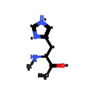 CCNC(Cc1c[nH]cn1)C(=O)OC